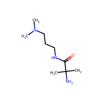 CN(C)CCCNC(=O)C(C)(C)N